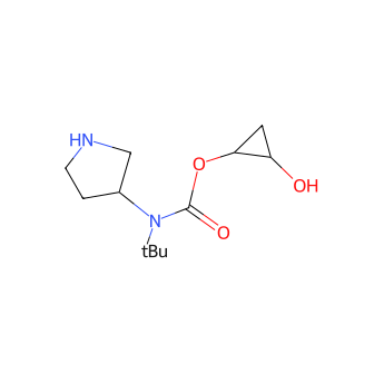 CC(C)(C)N(C(=O)OC1CC1O)C1CCNC1